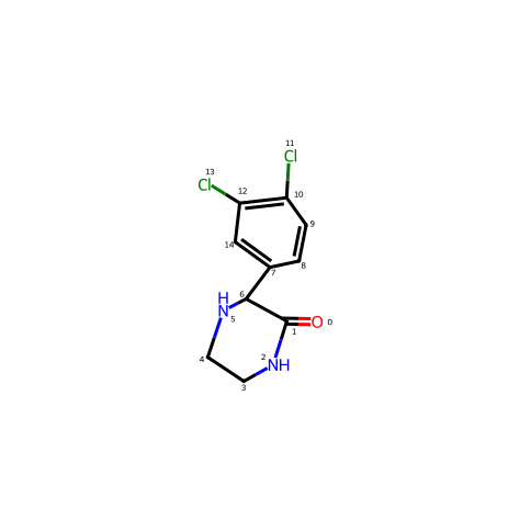 O=C1NCCNC1c1ccc(Cl)c(Cl)c1